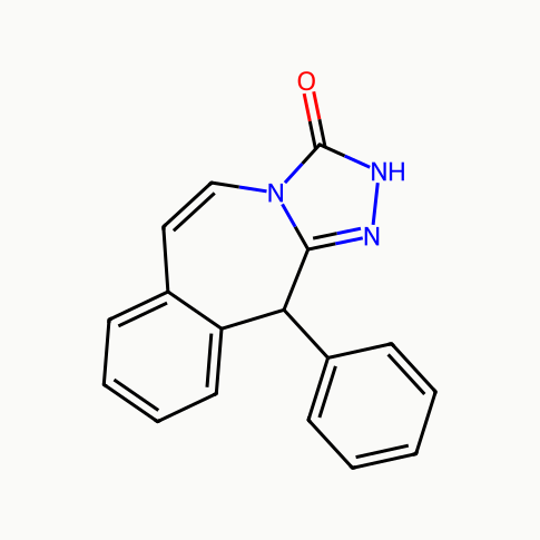 O=c1[nH]nc2n1C=Cc1ccccc1C2c1ccccc1